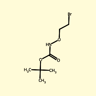 CC(C)(C)OC(=O)NOCCBr